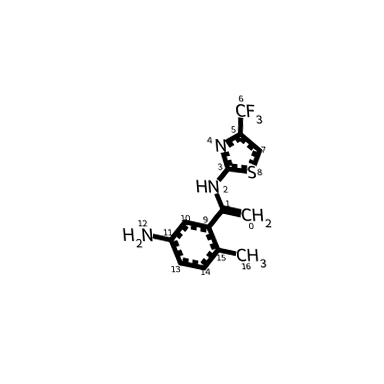 C=C(Nc1nc(C(F)(F)F)cs1)c1cc(N)ccc1C